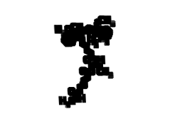 CCC(COC(=O)CCOCCC(=O)NC)NC(=O)CCCCC[N+]1=C(/C=C/C=C2/N(CC)c3ccccc3C2(C)C)C(C)(C)c2ccccc21